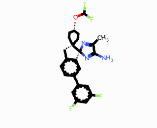 CC1=N[C@]2(N=C1N)c1cc(-c3cc(F)cc(F)c3)ccc1C[C@]21CC[C@@H](OC(F)F)CC1